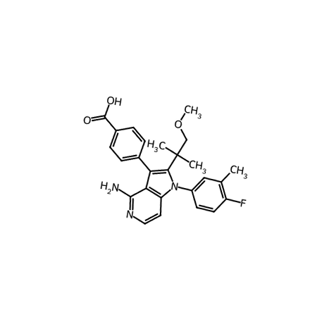 COCC(C)(C)c1c(-c2ccc(C(=O)O)cc2)c2c(N)nccc2n1-c1ccc(F)c(C)c1